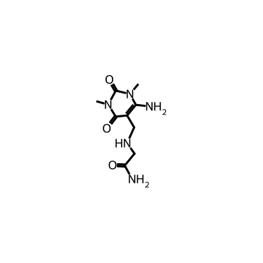 Cn1c(N)c(CNCC(N)=O)c(=O)n(C)c1=O